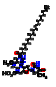 CCC=CCC=CCC=CCC=CCC=CCC=CCCC(=O)NCCN(C)CCN(C[C@@H]1O[C@H](n2cc(C)c(=O)[nH]c2=O)C[C@@H]1N=[N+]=[N-])C(=O)O